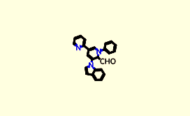 O=CC1C(n2ccc3ccccc32)=CC(c2ccccn2)=CN1c1ccccc1